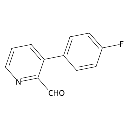 O=Cc1ncccc1-c1ccc(F)cc1